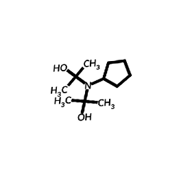 CC(C)(O)N(C1CCCC1)C(C)(C)O